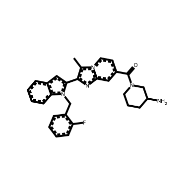 Cc1c(-c2cc3ccccc3n2Cc2ccccc2F)nc2cc(C(=O)N3CCCC(N)C3)ccn12